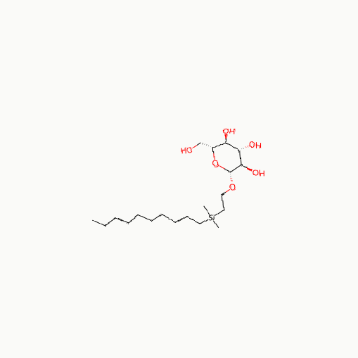 CCCCCCCCCC[Si](C)(C)CCO[C@@H]1O[C@H](CO)[C@@H](O)[C@H](O)[C@H]1O